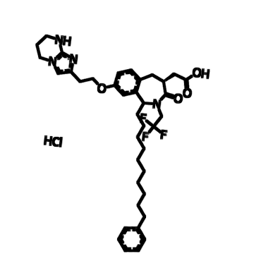 Cl.O=C(O)C[C@@H]1Cc2ccc(OCCc3cn4c(n3)NCCC4)cc2C(CCCCCCCCCCc2ccccc2)N(CC(F)(F)F)C1=O